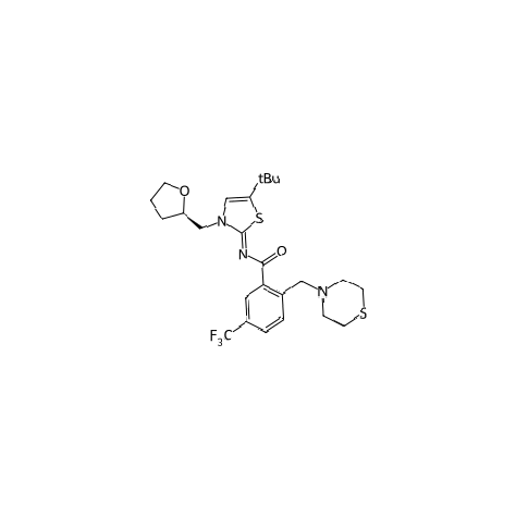 CC(C)(C)c1cn(C[C@H]2CCCO2)c(=NC(=O)c2cc(C(F)(F)F)ccc2CN2CCSCC2)s1